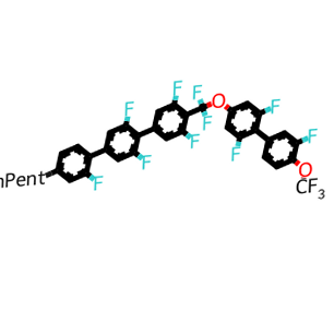 CCCCCc1ccc(-c2cc(F)c(-c3cc(F)c(C(F)(F)Oc4cc(F)c(-c5ccc(OC(F)(F)F)c(F)c5)c(F)c4)c(F)c3)c(F)c2)c(F)c1